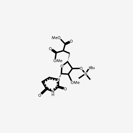 COC(=O)C(C[C@H]1O[C@@H](n2ccc(=O)[nH]c2=O)C(OC)C1O[Si](C)(C)C(C)(C)C)C(=O)OC